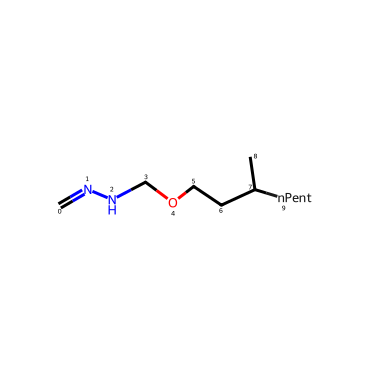 C=NNCOCCC(C)CCCCC